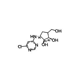 OCC1C[C@@H](Nc2cc(Cl)ncn2)[C@H](O)[C@@H]1O